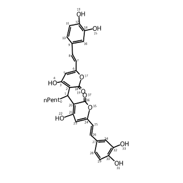 CCCCCC(c1c(O)cc(C=Cc2ccc(O)c(O)c2)oc1=O)c1c(O)cc(C=Cc2ccc(O)c(O)c2)oc1=O